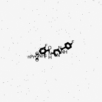 CCCS(=O)(=O)Nc1ccc(F)c(C(=O)Nc2cnc3[nH]c(-c4ccc(F)cc4)nc3c2)c1F